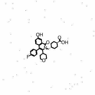 O=c1c2cc(O)ccc2c(-c2ccc(F)cc2)c(C2CCOCC2)n1C[C@H]1CC[C@H](C(=O)O)CC1